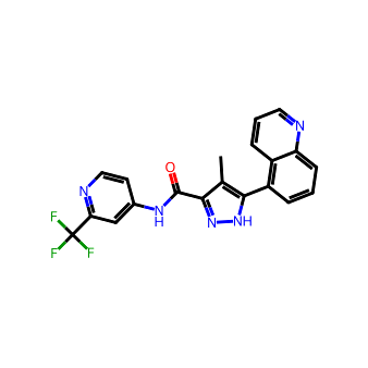 Cc1c(C(=O)Nc2ccnc(C(F)(F)F)c2)n[nH]c1-c1cccc2ncccc12